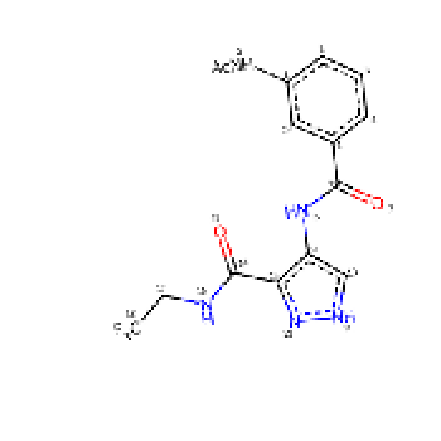 CC(=O)Nc1cccc(C(=O)Nc2c[nH]nc2C(=O)NCC(F)(F)F)c1